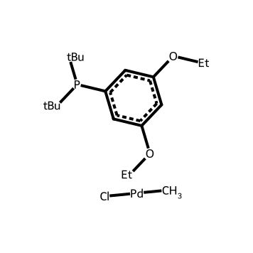 CCOc1cc(OCC)cc(P(C(C)(C)C)C(C)(C)C)c1.[CH3][Pd][Cl]